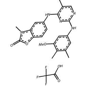 COc1cc(Nc2ncc(C)c(Nc3ccc4oc(=O)n(C)c4c3)n2)cc(C)c1C.O=C(O)C(F)(F)F